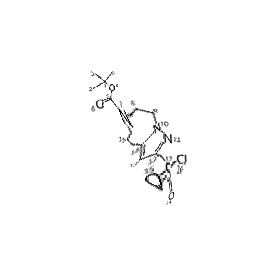 CC(C)(C)OC(=O)N1CCn2nc(S(=O)(=O)Cl)cc2C1